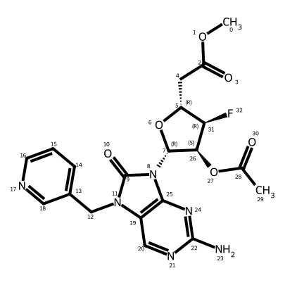 COC(=O)C[C@H]1O[C@@H](n2c(=O)n(Cc3cccnc3)c3cnc(N)nc32)[C@H](OC(C)=O)[C@@H]1F